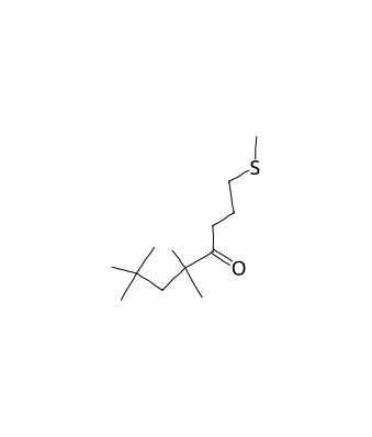 CSCCCC(=O)C(C)(C)CC(C)(C)C